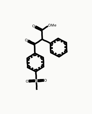 COC(=O)C(C(=O)c1ccc(S(C)(=O)=O)cc1)c1ccccc1